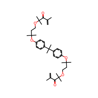 C=C(C)C(=O)C(C)(C)OCCC(C)(C)Oc1ccc(C(C)(C)c2ccc(OC(C)(C)CCOC(C)(C)C(=O)C(=C)C)cc2)cc1